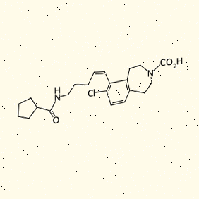 O=C(NCCC/C=C\c1c(Cl)ccc2c1CCN(C(=O)O)CC2)C1CCCC1